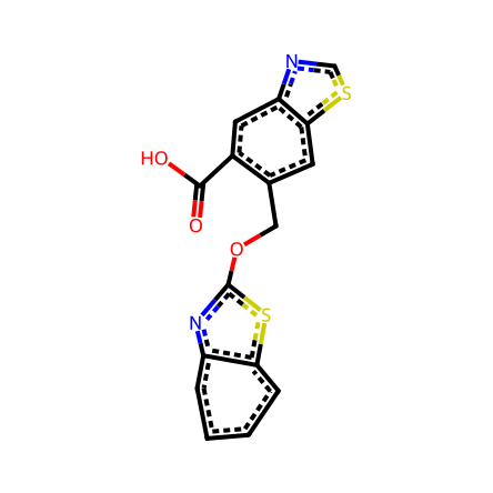 O=C(O)c1cc2ncsc2cc1COc1nc2ccccc2s1